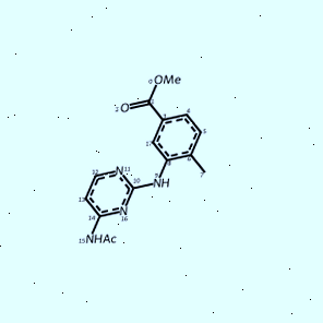 COC(=O)c1ccc(C)c(Nc2nccc(NC(C)=O)n2)c1